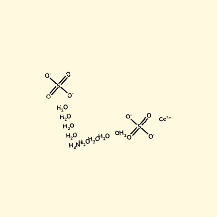 O.O.O.O.O.O.O.O.O=S(=O)([O-])[O-].O=S(=O)([O-])[O-].[Ce+3].[NH4+]